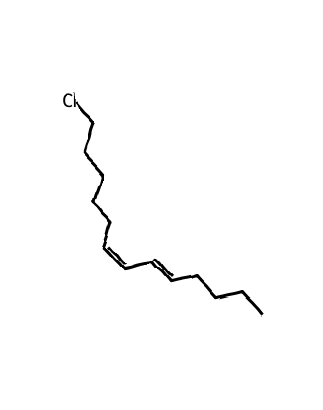 CCCC/C=C/C=C\CCCCCCl